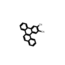 N#Cc1cc2c3ccccc3c3ccc4ccccc4c3c2cc1C#N